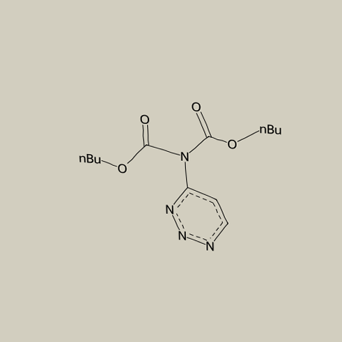 CCCCOC(=O)N(C(=O)OCCCC)c1ccnnn1